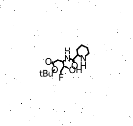 CC(C)(C)OC(=O)CC(NC(=O)C1CCCCN1)C(O)CF